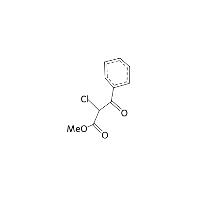 COC(=O)C(Cl)C(=O)c1ccccc1